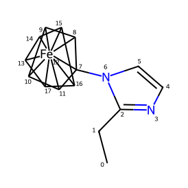 CCc1nccn1[C]12[CH]3[CH]4[CH]5[CH]1[Fe]45321678[CH]2[CH]1[CH]6[CH]7[CH]28